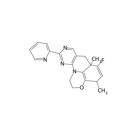 CC1C=C(F)C2(C)Cc3cnc(-c4ccccn4)nc3N3CCOC1=C32